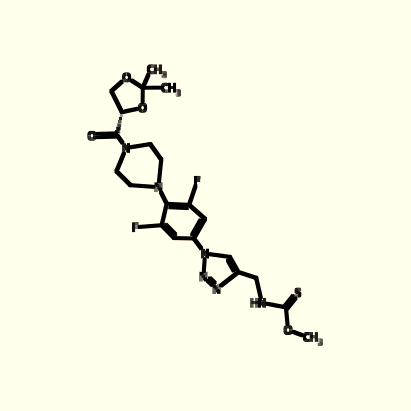 COC(=S)NCc1cn(-c2cc(F)c(N3CCN(C(=O)[C@@H]4COC(C)(C)O4)CC3)c(F)c2)nn1